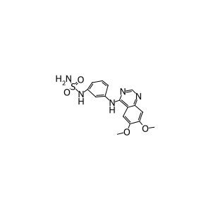 COc1cc2ncnc(Nc3cccc(NS(N)(=O)=O)c3)c2cc1OC